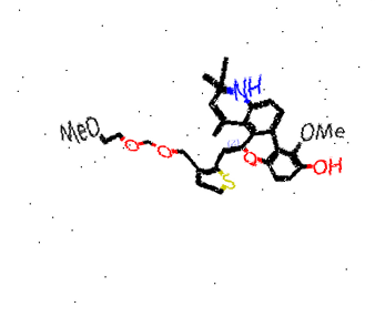 COCCOCOCc1ccsc1/C=C1\Oc2ccc(O)c(OC)c2-c2ccc3c(c21)C(C)=CC(C)(C)N3